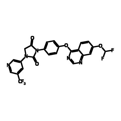 O=C1CN(c2cncc(C(F)(F)F)c2)C(=O)N1c1ccc(Oc2ncnc3cc(OC(F)F)ccc23)cc1